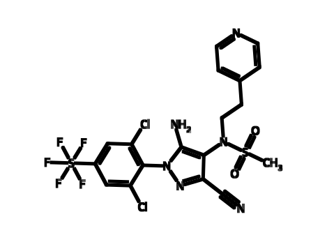 CS(=O)(=O)N(CCc1ccncc1)c1c(C#N)nn(-c2c(Cl)cc(S(F)(F)(F)(F)F)cc2Cl)c1N